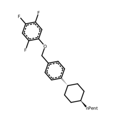 CCCCC[C@H]1CC[C@H](c2ccc(COc3cc(F)c(F)cc3F)cc2)CC1